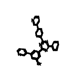 Brc1cc(-c2cccnc2)cc(-c2nc(-c3ccccc3)nc(-c3ccc(-c4cccnc4)cc3)n2)c1